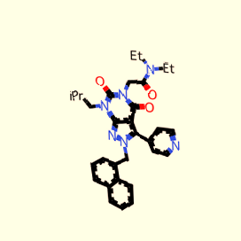 CCN(CC)C(=O)Cn1c(=O)c2c(-c3ccncc3)n(Cc3cccc4ccccc34)nc2n(CC(C)C)c1=O